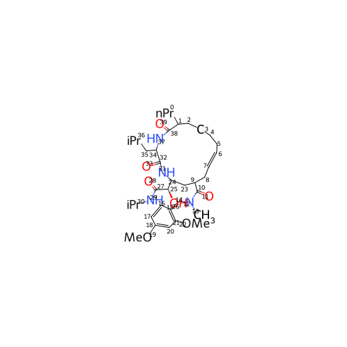 CCCC1CCCC/C=C/CC(C(=O)N(C)Cc2ccc(OC)cc2OC)CC([C@@H](O)C(=O)NC(C)C)NC(=O)C(CC(C)C)NC1=O